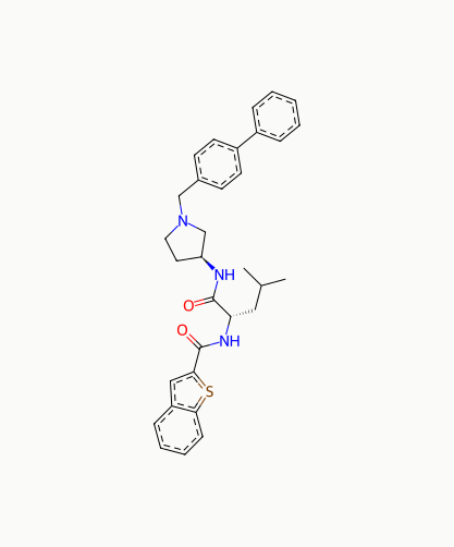 CC(C)C[C@H](NC(=O)c1cc2ccccc2s1)C(=O)N[C@H]1CCN(Cc2ccc(-c3ccccc3)cc2)C1